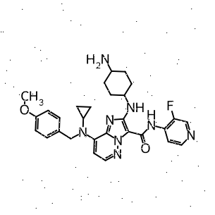 COc1ccc(CN(c2ccnn3c(C(=O)Nc4ccncc4F)c(NC4CCC(N)CC4)nc23)C2CC2)cc1